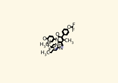 CCC/C=C(/N=C\c1cn(-c2ccc(=O)n(C)c2)c(=O)c(-c2ccc(OC(F)F)cc2)c1C)NCC(F)(F)F